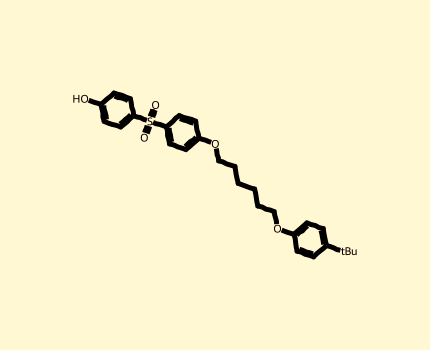 CC(C)(C)c1ccc(OCCCCCCOc2ccc(S(=O)(=O)c3ccc(O)cc3)cc2)cc1